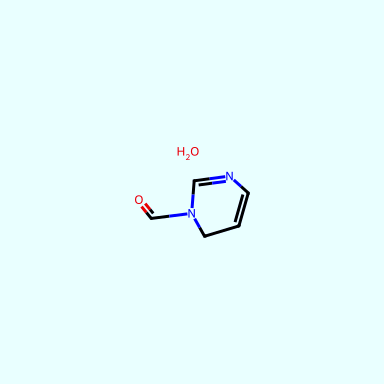 O.O=CN1C=NC=CC1